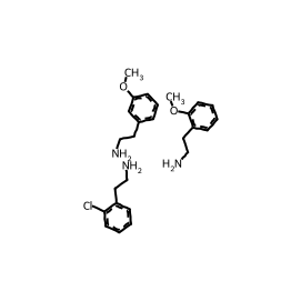 COc1cccc(CCN)c1.COc1ccccc1CCN.NCCc1ccccc1Cl